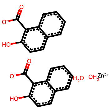 O.O.O=C([O-])c1c(O)ccc2ccccc12.O=C([O-])c1c(O)ccc2ccccc12.[Zn+2]